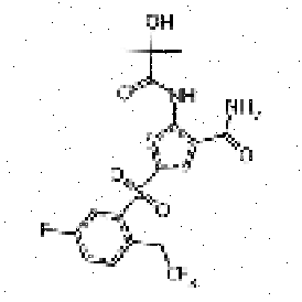 CC(C)(O)C(=O)Nc1sc(S(=O)(=O)c2cc(F)ccc2CC(F)(F)F)cc1C(N)=O